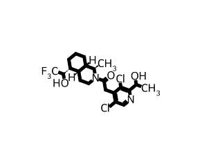 CC(O)c1ncc(Cl)c(CC(=O)N2CC[C@@H]3[C@H](CCC[C@H]3C(O)C(F)(F)F)[C@@H]2C)c1Cl